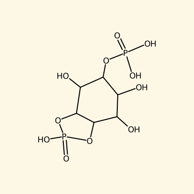 O=P(O)(O)OC1C(O)C(O)C2OP(=O)(O)OC2C1O